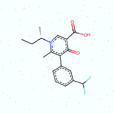 CC[C@H](C)n1cc(C(=O)O)c(=O)c(-c2cccc(C(F)F)c2)c1C